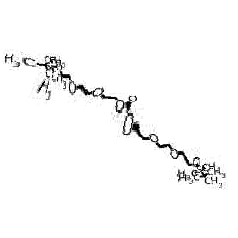 CC(C)(C)[Si](C)(C)OCCOCCOCCOC(=O)OCCOCCOCCO[Si](C)(C)C(C)(C)C